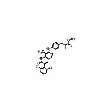 Cc1c(Nc2ccc(CNC(=O)OC(C)(C)C)cc2)ncc2cc(-c3c(Cl)cccc3Cl)c(=O)[nH]c12